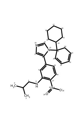 CC(C)CNc1cc(-c2cncn2C2(C3CCCCC3)C=CC=CC2)ccc1[N+](=O)[O-]